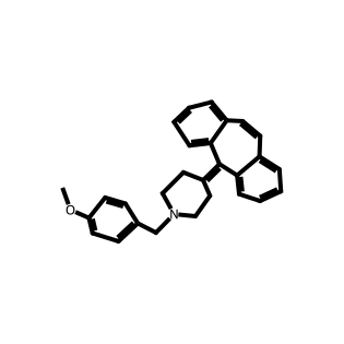 COc1ccc(CN2CCC(=C3c4ccccc4C=Cc4ccccc43)CC2)cc1